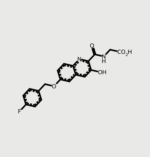 O=C(O)CNC(=O)c1nc2ccc(OCc3ccc(F)cc3)cc2cc1O